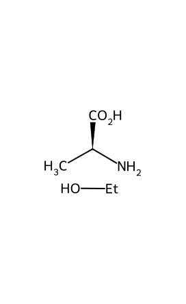 CCO.C[C@H](N)C(=O)O